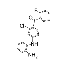 Nc1ccccc1Nc1ccc(C(=O)c2ccccc2F)c(Cl)c1